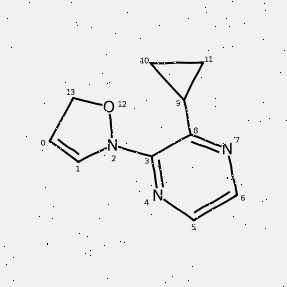 C1=CN(c2nccnc2C2CC2)OC1